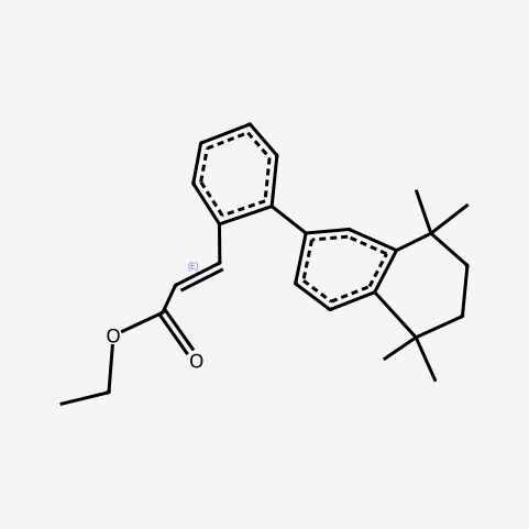 CCOC(=O)/C=C/c1ccccc1-c1ccc2c(c1)C(C)(C)CCC2(C)C